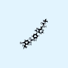 CC(C)(C)OC(=O)NCc1ncnc2c1ncn2-c1ccc(NC(=O)Nc2ccc(Br)c(C(F)(F)F)c2)cc1